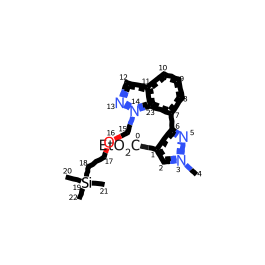 CCOC(=O)c1cn(C)nc1-c1cccc2cnn(COCC[Si](C)(C)C)c12